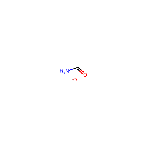 NC=O.[O]